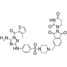 Cc1ccsc1C(=O)n1nc(Nc2ccc(S(=O)(=O)N3CCN(Cc4ccc5c(c4)C(=O)N(N4CCC(=O)NC4=O)C5=O)CC3)cc2)nc1N